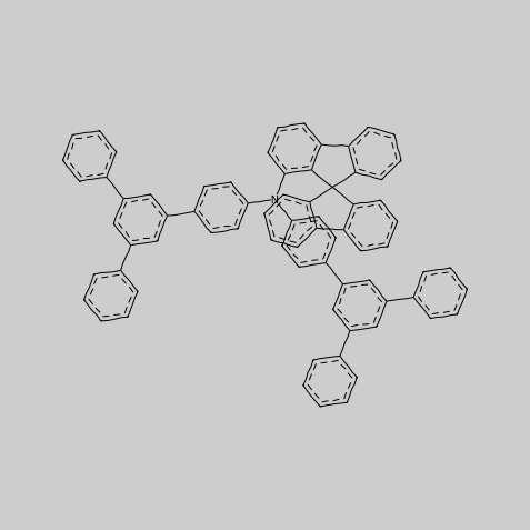 c1ccc(-c2cc(-c3ccccc3)cc(-c3ccc(N(c4ccc(-c5cc(-c6ccccc6)cc(-c6ccccc6)c5)cc4)c4cccc5c4C4(c6ccccc6-c6ccccc64)c4ccccc4-5)cc3)c2)cc1